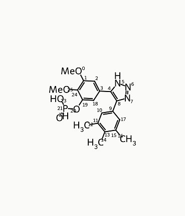 COc1cc(-c2[nH]nnc2-c2cc(C)c(C)c(C)c2)cc(O[PH](=O)O)c1OC